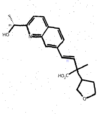 C[C@@H](O)c1ccc2ccc(/C=C/C(C)(C(=O)O)C3CCOC3)cc2n1